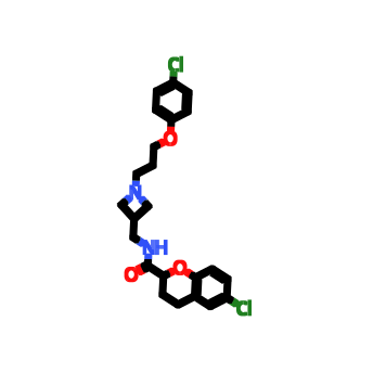 O=C(NCC1CN(CCCOc2ccc(Cl)cc2)C1)C1CCc2cc(Cl)ccc2O1